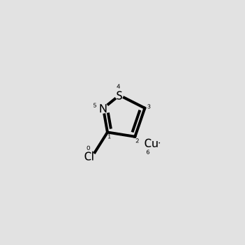 Clc1ccsn1.[Cu]